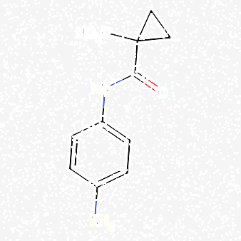 Nc1ccc(NC(=O)C2(C(=O)O)CC2)cc1